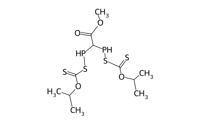 COC(=O)C(PSC(=S)OC(C)C)PSC(=S)OC(C)C